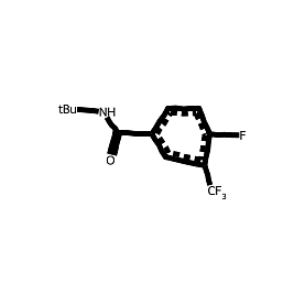 CC(C)(C)NC(=O)c1ccc(F)c(C(F)(F)F)c1